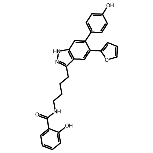 O=C(NCCCCc1n[nH]c2cc(-c3ccc(O)cc3)c(-c3ccco3)cc12)c1ccccc1O